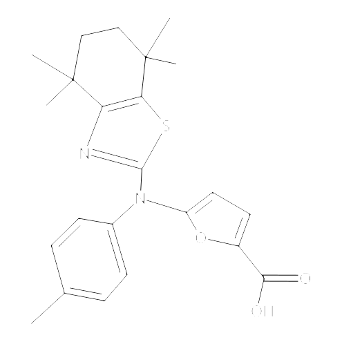 Cc1ccc(N(c2ccc(C(=O)O)o2)c2nc3c(s2)C(C)(C)CCC3(C)C)cc1